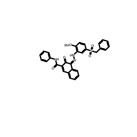 COc1ccc(S(=O)(=O)Cc2ccccc2)cc1N/N=C1\C(=O)C(C(=O)Nc2ccccc2)=Cc2ccccc21